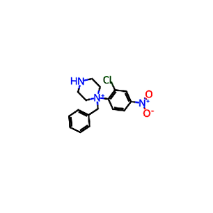 O=[N+]([O-])c1ccc([N+]2(Cc3ccccc3)CCNCC2)c(Cl)c1